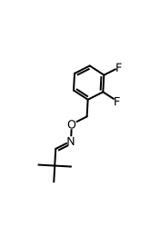 CC(C)(C)C=NOCc1cccc(F)c1F